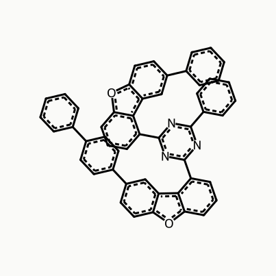 c1ccc(-c2ccc(-c3ccc4oc5cccc(-c6nc(-c7ccccc7)nc(-c7cccc8oc9ccc(-c%10ccccc%10)cc9c78)n6)c5c4c3)cc2)cc1